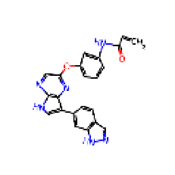 C=CC(=O)Nc1cccc(Oc2cnc3[nH]cc(-c4ccc5cn[nH]c5c4)c3n2)c1